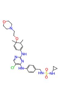 CC1C=C(Nc2ncc(Cl)c(Nc3ccc(CNS(=O)(=O)NC4CC4)cc3)n2)C=CC1(C)OCCN1CCOCC1